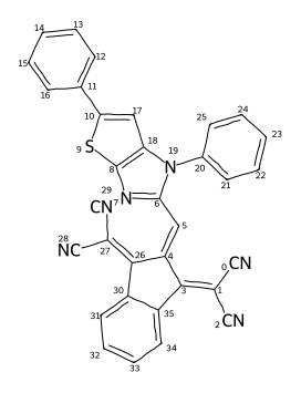 N#CC(C#N)=C1C(=Cc2nc3sc(-c4ccccc4)cc3n2-c2ccccc2)C(=C(C#N)C#N)c2ccccc21